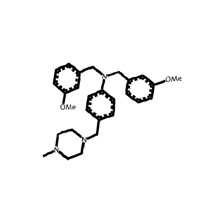 COc1cccc(CN(Cc2cccc(OC)c2)c2ccc(CN3CCN(C)CC3)cc2)c1